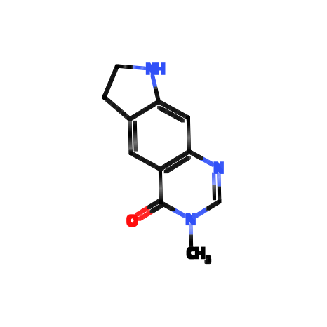 Cn1cnc2cc3c(cc2c1=O)CCN3